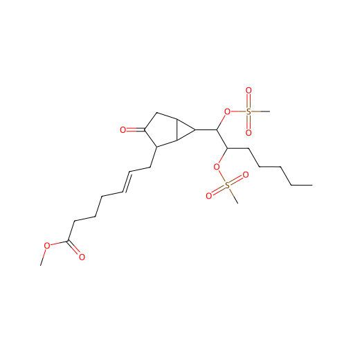 CCCCCC(OS(C)(=O)=O)C(OS(C)(=O)=O)C1C2CC(=O)C(CC=CCCCC(=O)OC)C21